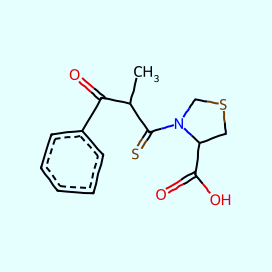 CC(C(=O)c1ccccc1)C(=S)N1CSCC1C(=O)O